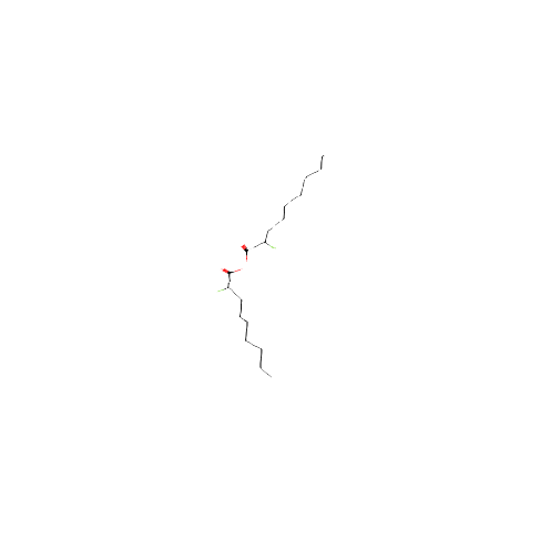 CCCCCCCC(F)C(=O)OC(=O)C(F)CCCCCCC